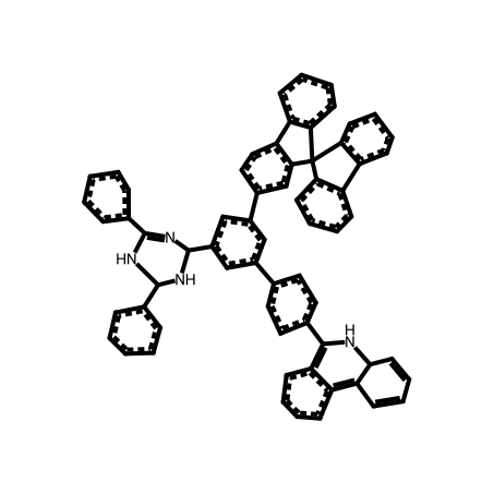 C1=CC2=c3ccccc3=C(c3ccc(-c4cc(-c5ccc6c(c5)C5(c7ccccc7-c7ccccc75)c5ccccc5-6)cc(C5N=C(c6ccccc6)NC(c6ccccc6)N5)c4)cc3)NC2C=C1